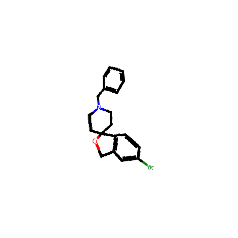 Brc1ccc2c(c1)COC21CCN(Cc2ccccc2)CC1